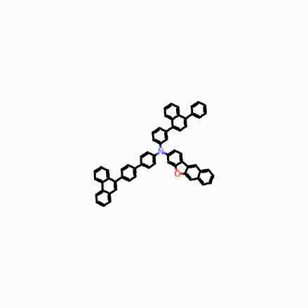 c1ccc(-c2ccc(-c3cccc(N(c4ccc(-c5ccc(-c6cc7ccccc7c7ccccc67)cc5)cc4)c4ccc5c(c4)oc4cc6ccccc6cc45)c3)c3ccccc23)cc1